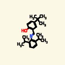 CC(C)c1cccc(C(C)C)c1N=Cc1cc(C(C)(C)C)ccc1O